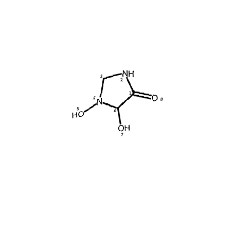 O=C1NCN(O)C1O